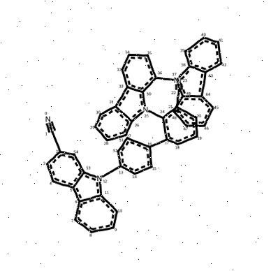 N#Cc1ccc2c3ccccc3n(-c3ccc(-c4cccc(C#N)c4-n4c5ccccc5c5cccc(-n6c7ccccc7c7ccccc76)c54)cc3)c2c1